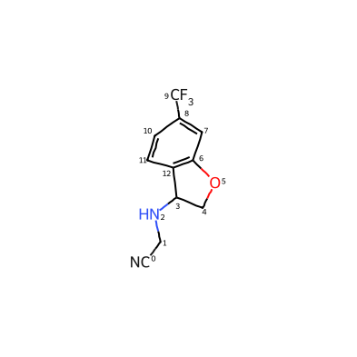 N#CCNC1COc2cc(C(F)(F)F)ccc21